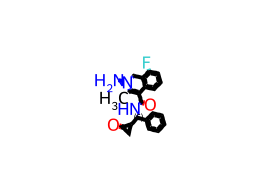 CC1=C(C(=O)N[C@H](c2ccccc2)C2CC2=O)c2cccc(F)c2CN1N